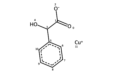 O=C([O-])C(O)c1ccccc1.[Cu+]